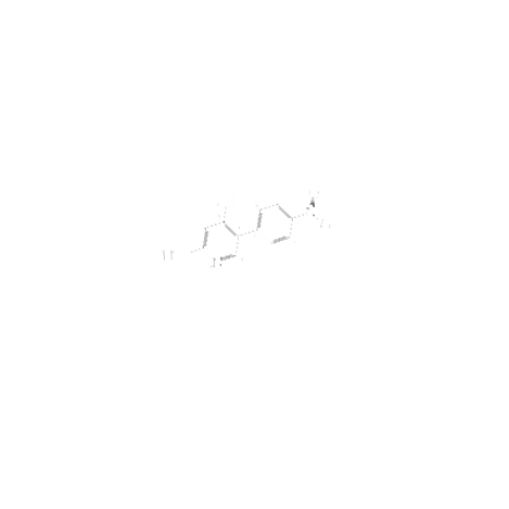 Cc1cc(C)c(-c2ccc([N+](=O)[O-])cc2)cn1